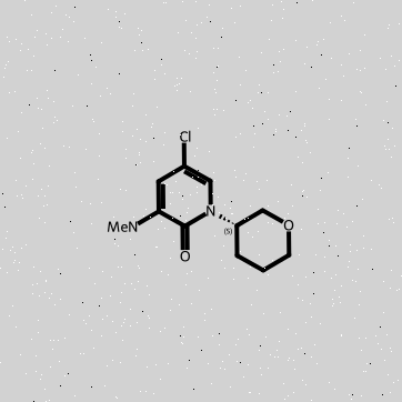 CNc1cc(Cl)cn([C@H]2CCCOC2)c1=O